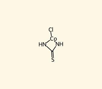 S=C1[NH][Co]([Cl])[NH]1